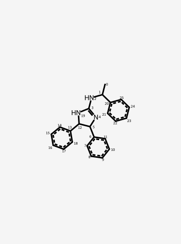 CC(NC1=NC(c2ccccc2)C(c2ccccc2)N1)c1ccccc1